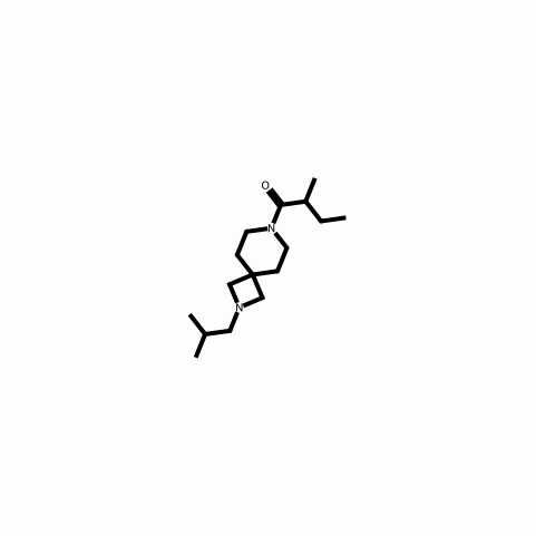 CCC(C)C(=O)N1CCC2(CC1)CN(CC(C)C)C2